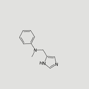 CN(Cc1cnc[nH]1)c1ccccc1